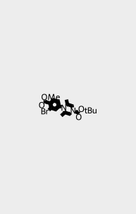 COC(=O)c1ccc(N2C(C)CN(C(=O)OC(C)(C)C)CC2C)cc1Br